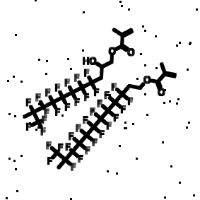 C=C(C)C(=O)OCC(O)CC(F)(F)C(F)(F)C(F)(F)C(F)(F)C(F)(F)C(F)(F)C(C)(F)C(F)(F)F.C=C(C)C(=O)OCCC(F)(F)C(F)(F)C(F)(F)C(F)(F)C(F)(F)C(F)(F)C(F)(F)C(F)(F)C(C)(F)C(F)(F)F